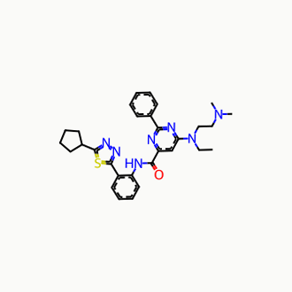 CCN(CCN(C)C)c1cc(C(=O)Nc2ccccc2-c2nnc(C3CCCC3)s2)nc(-c2ccccc2)n1